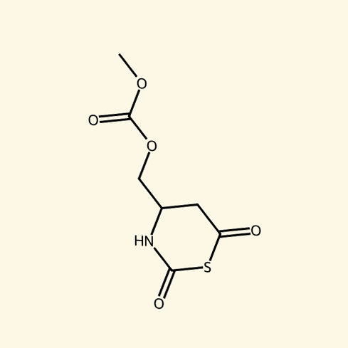 COC(=O)OCC1CC(=O)SC(=O)N1